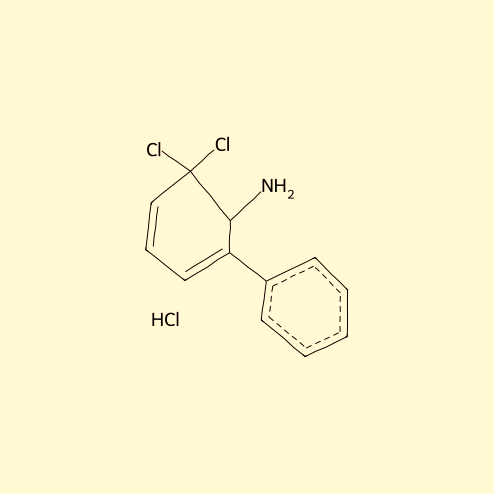 Cl.NC1C(c2ccccc2)=CC=CC1(Cl)Cl